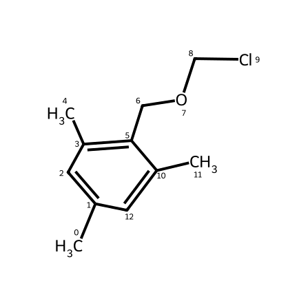 Cc1cc(C)c(COCCl)c(C)c1